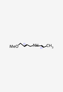 C/C=C/CNC/C=C/COC